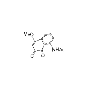 COC1=CC(=O)C(=O)c2c(NC(C)=O)cccc21